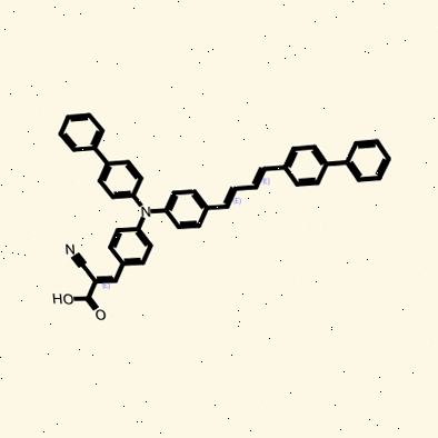 N#C/C(=C\c1ccc(N(c2ccc(/C=C/C=C/c3ccc(-c4ccccc4)cc3)cc2)c2ccc(-c3ccccc3)cc2)cc1)C(=O)O